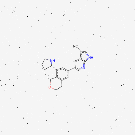 N#Cc1c[nH]c2ncc(-c3cc4c(c([C@@H]5CCCN5)c3)COCC4)cc12